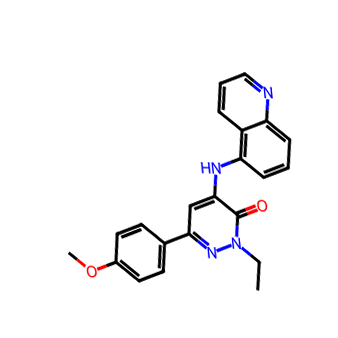 CCn1nc(-c2ccc(OC)cc2)cc(Nc2cccc3ncccc23)c1=O